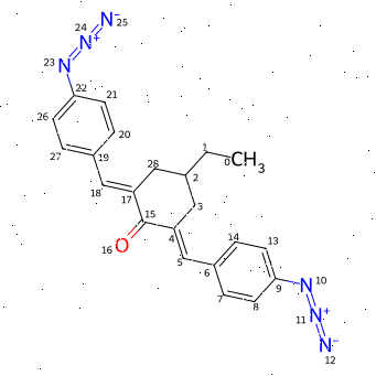 CCC1C/C(=C\c2ccc(N=[N+]=[N-])cc2)C(=O)/C(=C/c2ccc(N=[N+]=[N-])cc2)C1